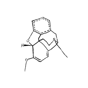 COC1=CC=C2C3Cc4cccc5c4C2(CCN3C)[C@H]1O5